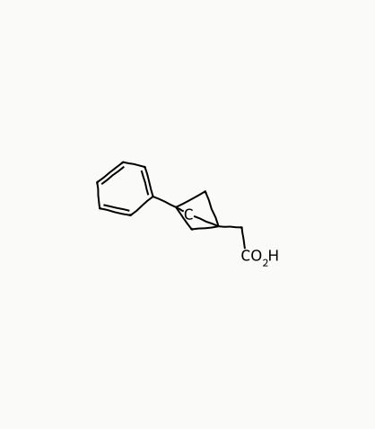 O=C(O)CC12CC(c3ccccc3)(C1)C2